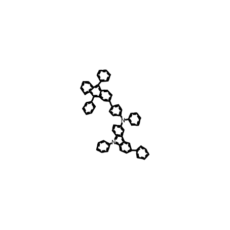 c1ccc(-c2ccc3c(c2)c2cc(N(c4ccccc4)c4ccc(-c5ccc6c(-c7ccccc7)c7ccccc7c(-c7ccccc7)c6c5)cc4)ccc2n3-c2ccccc2)cc1